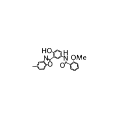 COc1ccccc1C(=O)Nc1ccc(O)c(-c2nc3cc(C)ccc3o2)c1